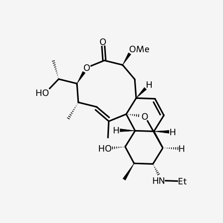 CCN[C@@H]1[C@@H](C)[C@H](O)[C@H]2[C@@H]3C=C[C@H]4C[C@H](OC)C(=O)O[C@H]([C@@H](C)O)[C@@H](C)/C=C(\C)[C@]24O[C@@H]31